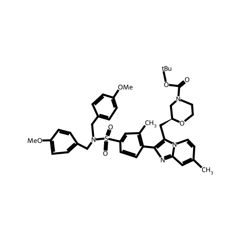 COc1ccc(CN(Cc2ccc(OC)cc2)S(=O)(=O)c2ccc(-c3nc4cc(C)ccn4c3C[C@H]3CN(C(=O)OC(C)(C)C)CCO3)c(C)c2)cc1